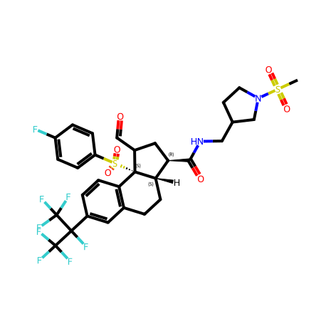 CS(=O)(=O)N1CCC(CNC(=O)[C@@H]2CC(C=O)[C@]3(S(=O)(=O)c4ccc(F)cc4)c4ccc(C(F)(C(F)(F)F)C(F)(F)F)cc4CC[C@@H]23)C1